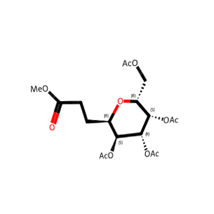 COC(=O)CC[C@H]1O[C@H](COC(C)=O)[C@H](OC(C)=O)[C@H](OC(C)=O)[C@H]1OC(C)=O